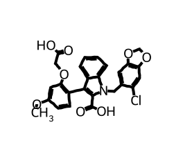 COc1ccc(-c2c(C(=O)O)n(Cc3cc4c(cc3Cl)OCO4)c3ccccc23)c(OCC(=O)O)c1